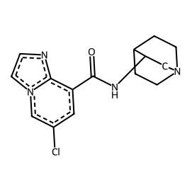 O=C(NC1CN2CCC1CC2)c1cc(Cl)cn2ccnc12